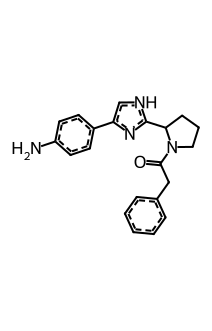 Nc1ccc(-c2c[nH]c(C3CCCN3C(=O)Cc3ccccc3)n2)cc1